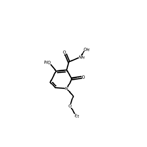 CCOCn1ccc(O)c(C(=O)NO)c1=O